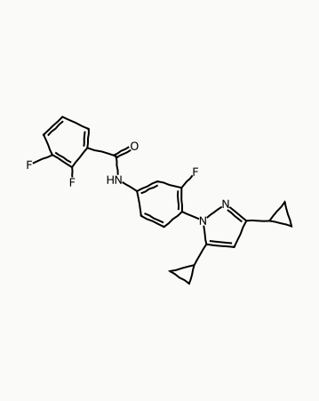 O=C(Nc1ccc(-n2nc(C3CC3)cc2C2CC2)c(F)c1)c1cccc(F)c1F